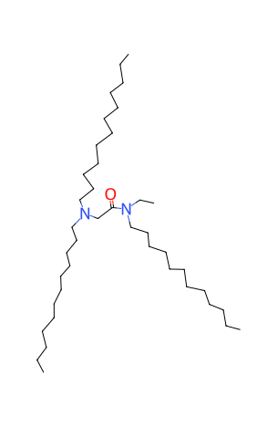 CCCCCCCCCCCCN(CCCCCCCCCCCC)CC(=O)N(CC)CCCCCCCCCCCC